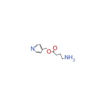 NCCCC(=O)OCc1ccncc1